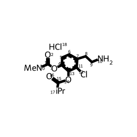 CNC(=O)Oc1ccc(CCN)c(Cl)c1OC(=O)C(C)C.Cl